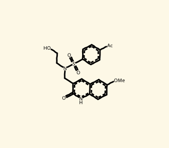 COc1ccc2[nH]c(=O)c(CN(CCO)S(=O)(=O)c3ccc(C(C)=O)cc3)cc2c1